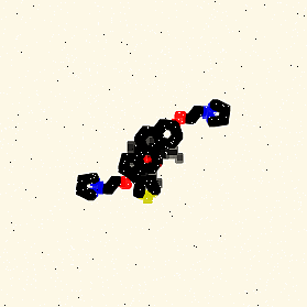 C[C@]12CCC(OCCN3CCCC3)CC1CC[C@@H]1[C@H]2CC[C@]2(C)C(OCCN3CCCC3)(c3ccsc3)CC[C@@]12O